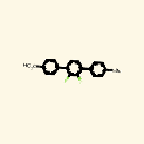 CCCCc1ccc(-c2ccc(-c3ccc(C(=O)O)cc3)c(F)c2F)cc1